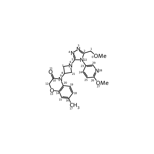 COCc1nnc(N2CC(N3C(=O)COc4cc(C)ccc43)C2)n1-c1ccc(OC)nc1